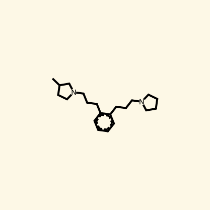 CC1CCN(CCCc2ccccc2CCCN2CCCC2)C1